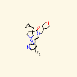 O=C(N(CCc1cncc(C(F)(F)F)c1)CC1CCOCC1)C1(CC2CC2)CCNC1